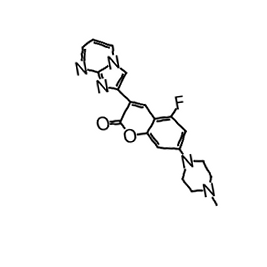 CN1CCN(c2cc(F)c3cc(-c4cn5cccnc5n4)c(=O)oc3c2)CC1